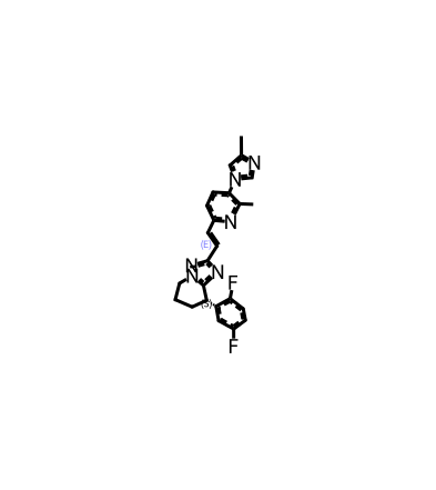 Cc1cn(-c2ccc(/C=C/c3nc4n(n3)CCC[C@H]4c3cc(F)ccc3F)nc2C)cn1